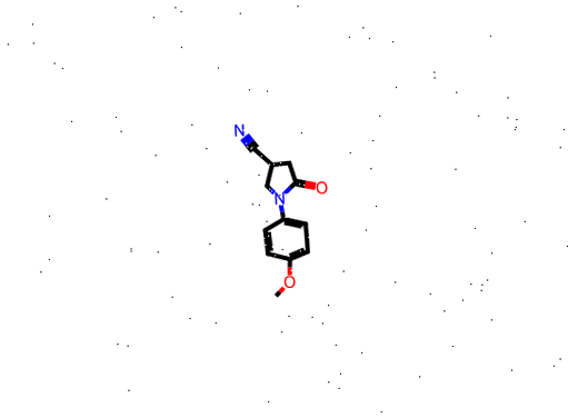 COc1ccc(N2CC(C#N)CC2=O)cc1